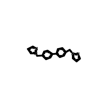 c1cnn(Cc2ccc(-c3ccc(Cn4cccn4)cc3)cc2)c1